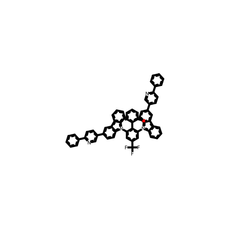 Fc1cccc(F)c1-c1c(-n2c3ccccc3c3cc(-c4ccc(-c5ccccc5)nc4)ccc32)cc(C(F)(F)F)cc1-n1c2ccccc2c2cc(-c3ccc(-c4ccccc4)nc3)ccc21